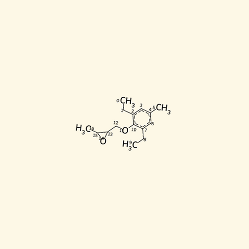 CCc1cc(C)cc(CC)c1OCC1OC1C